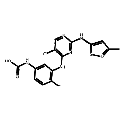 Cc1cc(Nc2ncc(Cl)c(Nc3cc(NC(=O)O)ccc3F)n2)sn1